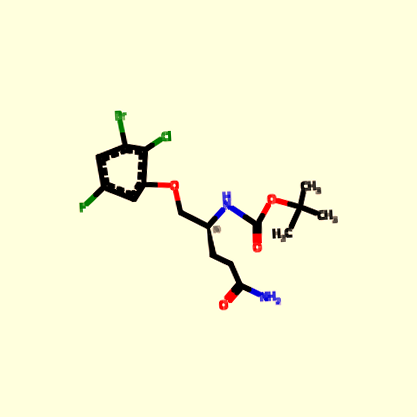 CC(C)(C)OC(=O)N[C@@H](CCC(N)=O)COc1cc(F)cc(Br)c1Cl